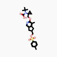 Cc1ccc(S(=O)(=O)OCC2Cc3cnc(OCC4(N(C(=O)O)C(C)(C)C)CC4)c(C)c3C2)cc1